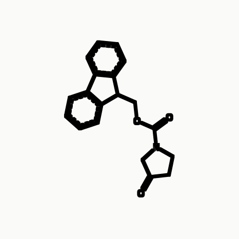 O=C1CCN(C(=O)OCC2c3ccccc3-c3ccccc32)C1